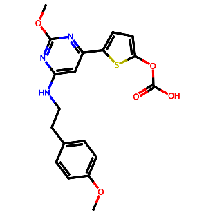 COc1ccc(CCNc2cc(-c3ccc(OC(=O)O)s3)nc(OC)n2)cc1